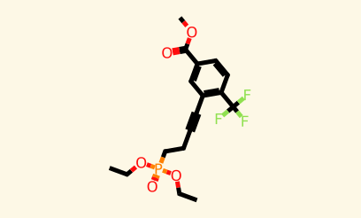 CCOP(=O)(CCC#Cc1cc(C(=O)OC)ccc1C(F)(F)F)OCC